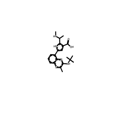 CNC(C)c1[nH]c(-c2cccc3nc(C)c(NC(C)(C)C)nc23)cc1C(=O)O